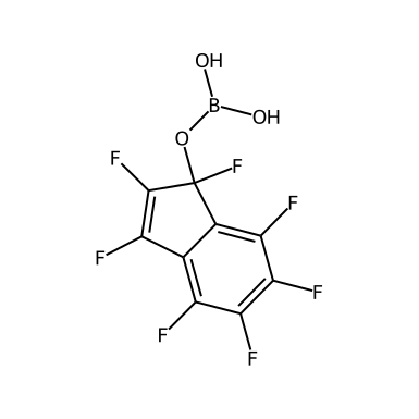 OB(O)OC1(F)C(F)=C(F)c2c(F)c(F)c(F)c(F)c21